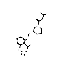 CC(C)CC(=O)N1CCC[C@@H](COc2cccc3c2C(N)=NS(=O)(=O)N3)C1